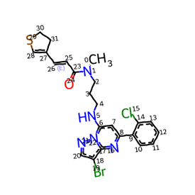 CN(CCCNc1cc(-c2ccccc2Cl)nc2c(Br)cnn12)C(=O)/C=C/C1=CSCC1